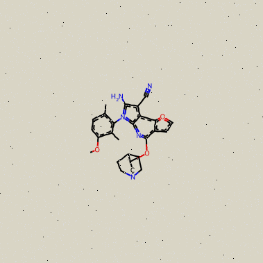 COc1ccc(C)c(-n2c(N)c(C#N)c3c4occc4c(OC4CN5CCC4CC5)nc32)c1C